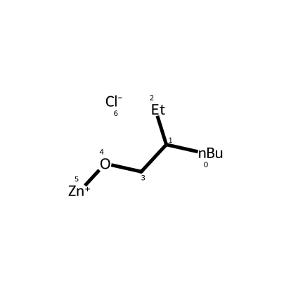 CCCCC(CC)C[O][Zn+].[Cl-]